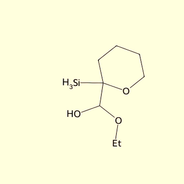 CCOC(O)C1([SiH3])CCCCO1